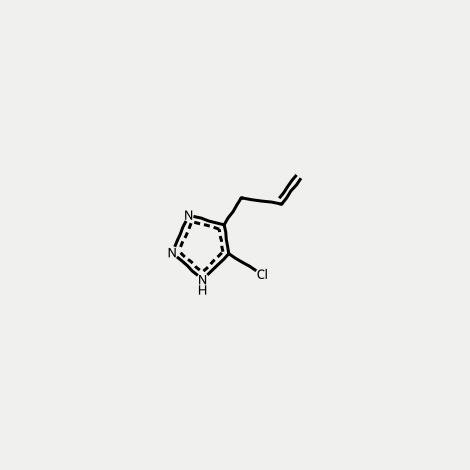 C=CCc1nn[nH]c1Cl